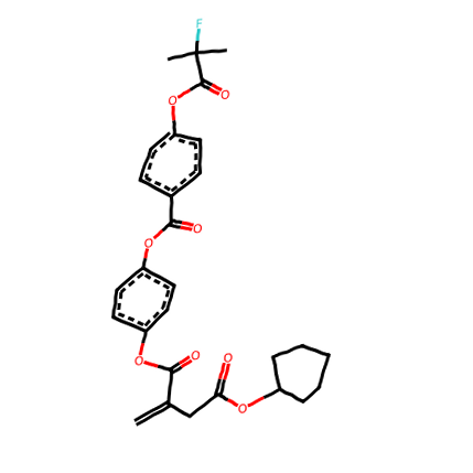 C=C(CC(=O)OC1CCCCC1)C(=O)Oc1ccc(OC(=O)c2ccc(OC(=O)C(C)(C)F)cc2)cc1